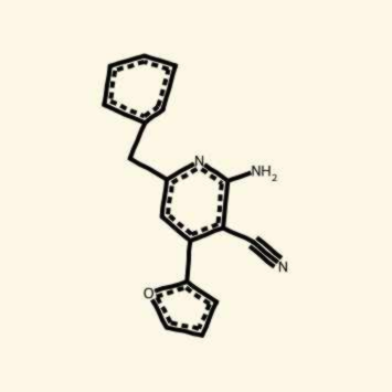 N#Cc1c(-c2ccco2)cc(Cc2ccccc2)nc1N